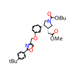 COC(=O)C[C@H]1CN(C(=O)OCC(C)C)C[C@H]1c1cccc(OCc2coc(-c3ccc(C(C)(C)C)cc3)n2)c1